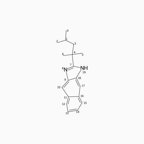 CC(C)CC(C)(C)c1nc2cc3ccccc3cc2[nH]1